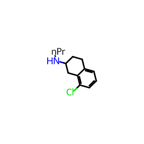 CCCNC1CCc2cccc(Cl)c2C1